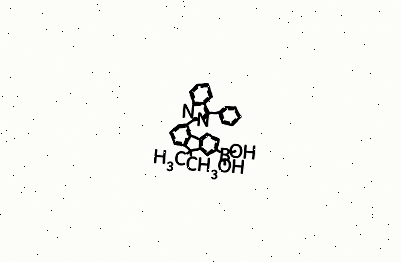 CC1(C)c2cc(B(O)O)ccc2-c2c(-c3nc(-c4ccccc4)c4ccccc4n3)cccc21